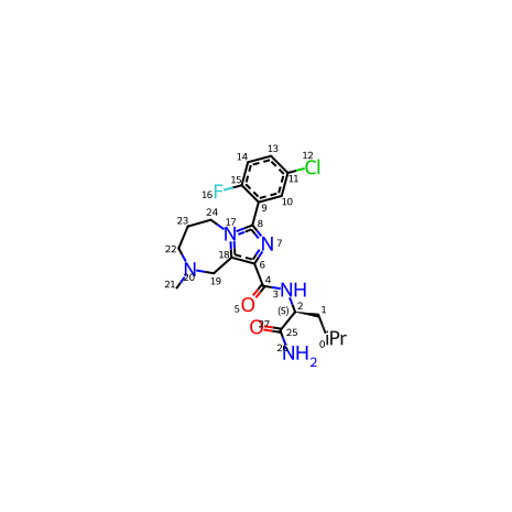 CC(C)C[C@H](NC(=O)c1nc(-c2cc(Cl)ccc2F)n2c1CN(C)CCC2)C(N)=O